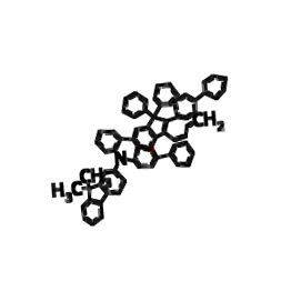 C=C/C=C\C1=C(c2ccc(-c3ccccc3)cc2)C(c2ccccc2)(c2ccccc2)c2cc(-c3ccccc3N(c3ccc(-c4ccccc4)cc3)c3ccc4c(c3)C(C)(C)c3ccccc3-4)ccc21